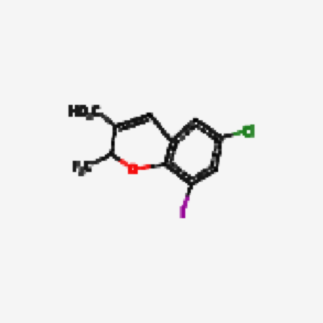 O=C(O)C1=Cc2cc(Cl)cc(I)c2OC1C(F)(F)F